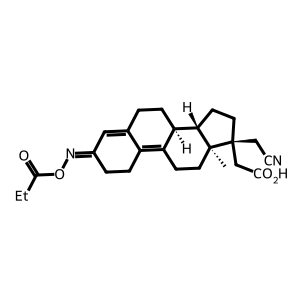 CCC(=O)O/N=C1/C=C2CC[C@@H]3C(=C2CC1)CC[C@@]1(C)[C@H]3CC[C@]1(CC#N)CC(=O)O